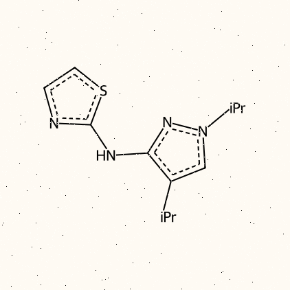 CC(C)c1cn(C(C)C)nc1Nc1nccs1